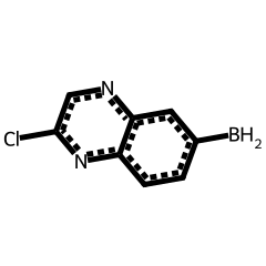 Bc1ccc2nc(Cl)cnc2c1